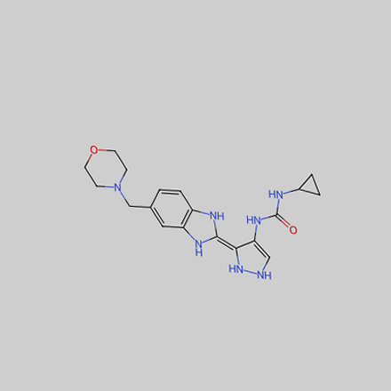 O=C(NC1=CNNC1=C1Nc2ccc(CN3CCOCC3)cc2N1)NC1CC1